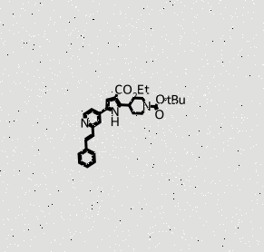 CCOC(=O)c1cc(-c2ccnc(C=Cc3ccccc3)c2)[nH]c1C1CCN(C(=O)OC(C)(C)C)CC1